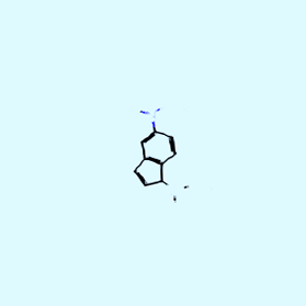 CN(C)c1ccc2c(c1)C=C[CH]2[Zr]([CH3])[CH3]